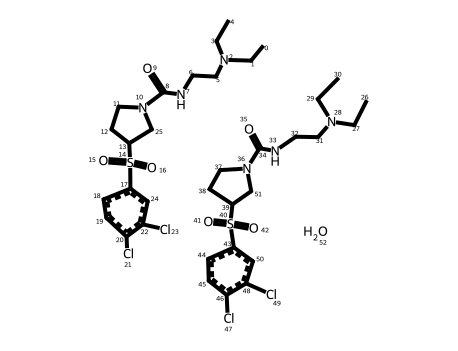 CCN(CC)CCNC(=O)N1CCC(S(=O)(=O)c2ccc(Cl)c(Cl)c2)C1.CCN(CC)CCNC(=O)N1CCC(S(=O)(=O)c2ccc(Cl)c(Cl)c2)C1.O